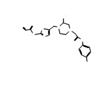 C=CC(=O)Nc1ncc(CN2CCN(CC(=O)Oc3ccc(Cl)cc3)CC2C)s1